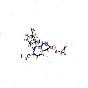 CC1=C=Cc2cc(OCC3CC3)ncc2C([C@@H]2C[C@@H]3CCCC2CC3)=N1